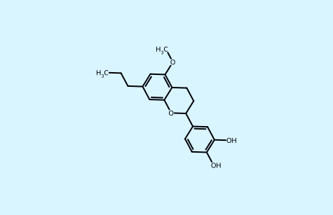 CCCc1cc(OC)c2c(c1)OC(c1ccc(O)c(O)c1)CC2